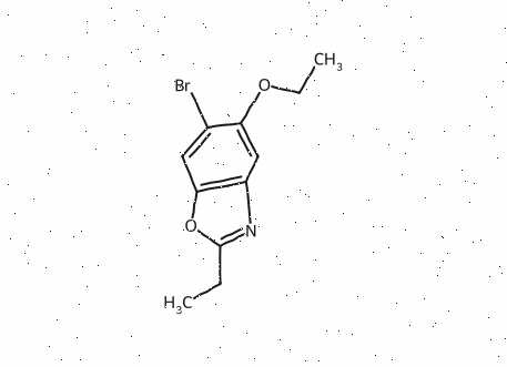 CCOc1cc2nc(CC)oc2cc1Br